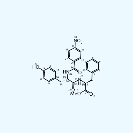 COC(=O)[C@H](Cc1ccccc1)NC(=O)[C@H](Cc1ccc(O)cc1)NC(=O)c1ccc([N+](=O)[O-])cc1